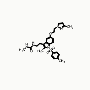 CNC(=O)NCCc1c(C)n(S(=O)(=O)c2ccc(C)cc2)c2ccc(OCCn3ccc(C)n3)cc12